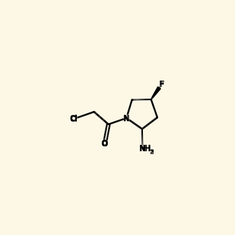 NC1C[C@H](F)CN1C(=O)CCl